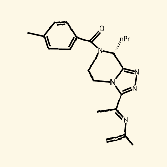 C=C(C)/N=C(\C)c1nnc2n1CCN(C(=O)c1ccc(C)cc1)[C@@H]2CCC